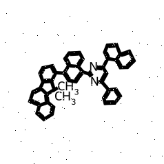 CC1(C)c2c(cccc2-c2ccc(-c3nc(-c4ccccc4)cc(-c4cccc5ccccc45)n3)c3ccccc23)-c2ccc3ccccc3c21